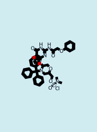 CN(C)P(=O)(Cl)OCC1CN(C(c2ccccc2)(c2ccccc2)c2ccccc2)C(n2cnc3c(=O)[nH]c(NC(=O)COc4ccccc4)nc32)CO1